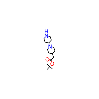 CC(C)(C)OC(=O)CC1CCN(C2CCNCC2)CC1